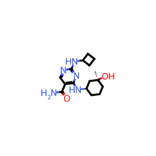 C[C@]1(O)CCC[C@@H](Nc2nc(NC3CCC3)ncc2C(N)=O)C1